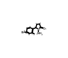 NN1C(=O)CCC1c1ccc(Br)cc1F